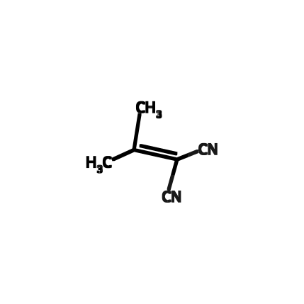 CC(C)=C(C#N)C#N